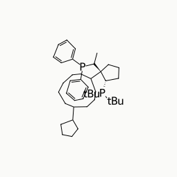 CC(P(c1ccccc1)c1ccccc1)[C@@]1(C2CCCCCC(C3CCCC3)CCC2)CCC[C@@H]1P(C(C)(C)C)C(C)(C)C